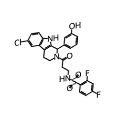 O=C(CCNS(=O)(=O)c1ccc(F)cc1F)N1CCc2c([nH]c3ccc(Cl)cc23)C1c1cccc(O)c1